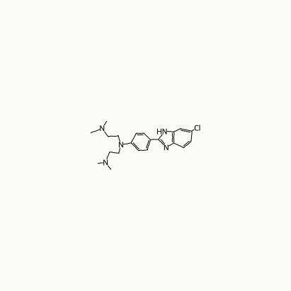 CN(C)CCN(CCN(C)C)c1ccc(-c2nc3ccc(Cl)cc3[nH]2)cc1